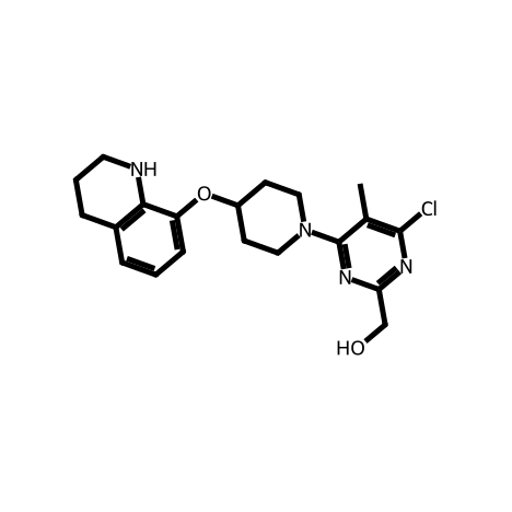 Cc1c(Cl)nc(CO)nc1N1CCC(Oc2cccc3c2NCCC3)CC1